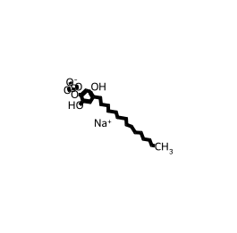 CCCCCCCCCCCCCCCc1cc(O)c(OS(=O)(=O)[O-])cc1O.[Na+]